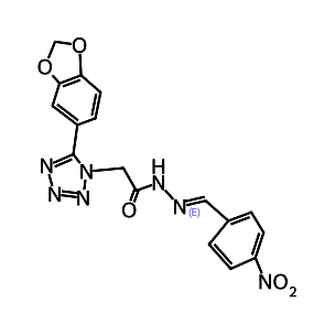 O=C(Cn1nnnc1-c1ccc2c(c1)OCO2)N/N=C/c1ccc([N+](=O)[O-])cc1